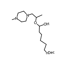 CCCCCCCCCCCCCCCC(O)OC(C)CN1CCN(C)CC1